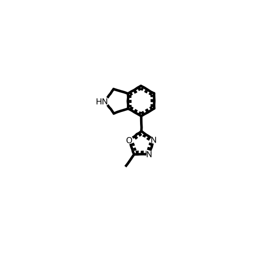 Cc1nnc(-c2cccc3c2CNC3)o1